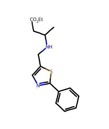 CCOC(=O)CC(C)NCc1cnc(-c2ccccc2)s1